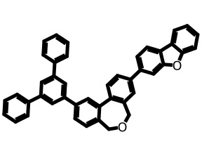 c1ccc(-c2cc(-c3ccccc3)cc(-c3ccc4c(c3)-c3ccc(-c5ccc6c(c5)oc5ccccc56)cc3COC4)c2)cc1